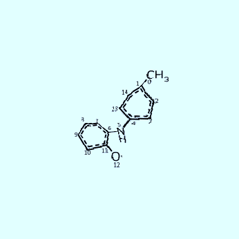 Cc1ccc(Nc2ccccc2[O])cc1